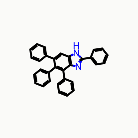 c1ccc(-c2nc3c(-c4ccccc4)c(-c4ccccc4)c(-c4ccccc4)cc3[nH]2)cc1